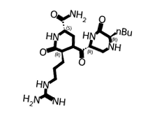 CCCC[C@H]1NC[C@H](C(=O)C2C[C@@H](C(N)=O)NC(=O)[C@@H]2CCCNC(=N)N)NC1=O